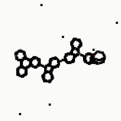 c1ccc2c(c1)c1ccccc1c1cc(-n3c4ccccc4c4cc(-c5ccc6c(c5)c5ccccc5n6-c5ccc6c(c5)C5CC7CC(CC6C7)C5)ccc43)ccc21